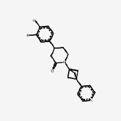 O=C1CC(c2ccc(Cl)c(F)c2)CCN1C12CC(c3ccncc3)(C1)C2